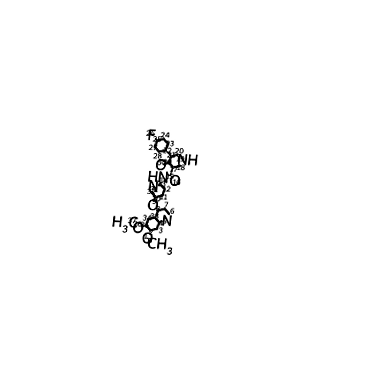 COc1cc2nccc(Oc3ccc(NC(=O)c4c[nH]cc(-c5ccc(F)cc5)c4=O)nc3)c2cc1OC